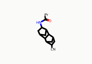 CC(C)C(=O)NC1CC2CC1C1C3CC(C#N)C(C3)C21